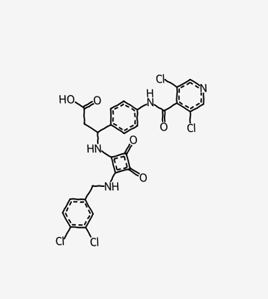 O=C(O)CC(Nc1c(NCc2ccc(Cl)c(Cl)c2)c(=O)c1=O)c1ccc(NC(=O)c2c(Cl)cncc2Cl)cc1